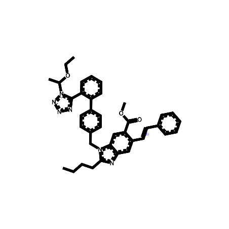 CCCCc1nc2cc(/C=C/c3ccccc3)c(C(=O)OC)cc2n1Cc1ccc(-c2ccccc2-c2nnnn2C(C)OCC)cc1